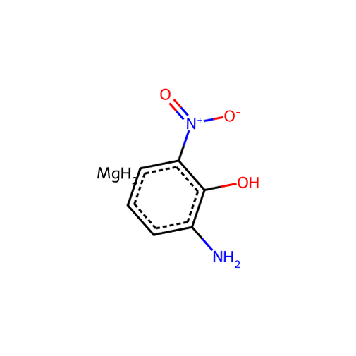 Nc1cccc([N+](=O)[O-])c1O.[MgH2]